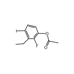 CCc1c(I)ccc(OC(C)=O)c1F